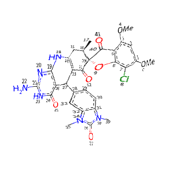 COc1cc(OC)c2c(c1Cl)O[C@@]1(C(=O)C3=C(C[C@H]1C)Nc1nc(N)[nH]c(=O)c1C3c1ccc3c(c1)n(C)c(=O)n3C)C2=O